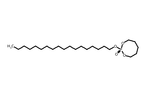 CCCCCCCCCCCCCCCCCCOP1(=O)OCCCCCO1